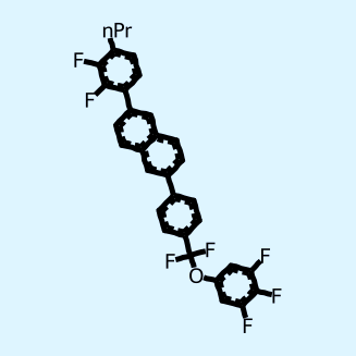 CCCc1ccc(-c2ccc3cc(-c4ccc(C(F)(F)Oc5cc(F)c(F)c(F)c5)cc4)ccc3c2)c(F)c1F